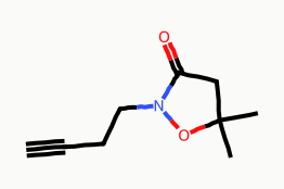 C#CCCN1OC(C)(C)CC1=O